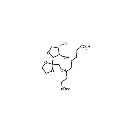 CCCCCCCCCCCCCCCCCC(=O)O.OCC1([C@H]2OC[C@H](O)[C@H]2O)OCCO1